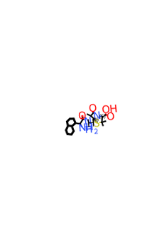 CC1(C)S[C@H]2N(C(=O)C2(C)NC(=O)C(N)c2cccc3ccccc23)[C@H]1C(=O)O